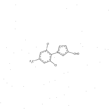 O=Cc1ccn(-c2c(Cl)cc(C(F)(F)F)cc2Cl)c1